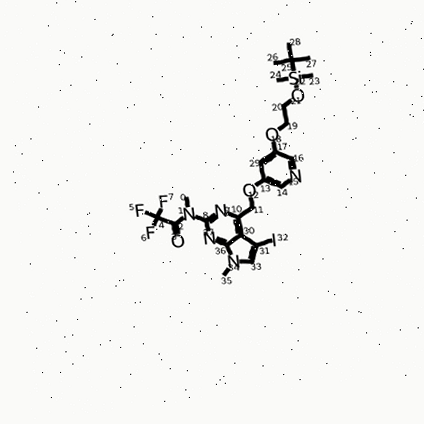 CN(C(=O)C(F)(F)F)c1nc(COc2cncc(OCCO[Si](C)(C)C(C)(C)C)c2)c2c(I)cn(C)c2n1